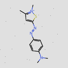 Cc1cc(N=Nc2ccc(N(C)C)cc2)s[n+]1C